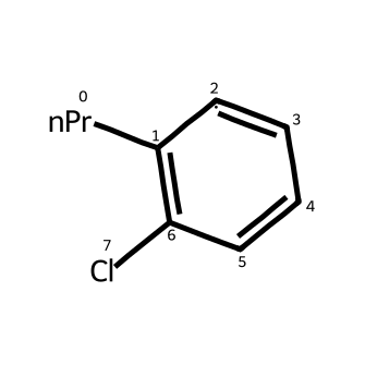 CCCc1[c]cccc1Cl